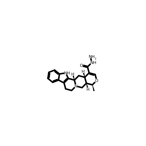 C[C@@H]1OC=C(C(=O)NN)[C@H]2C[C@H]3c4[nH]c5ccccc5c4CCN3C[C@@H]12